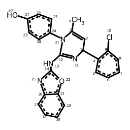 CC1=CC(c2ccccc2Cl)N=C(Nc2nc3ccccc3o2)N1c1ccc(O)cc1